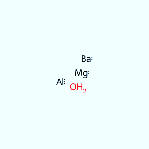 O.[Al].[Ba].[Mg]